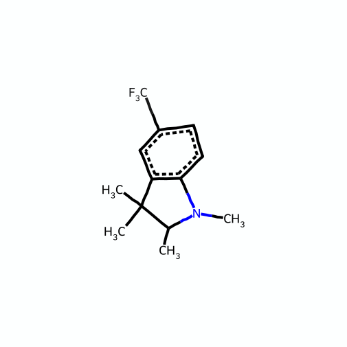 CC1N(C)c2ccc(C(F)(F)F)cc2C1(C)C